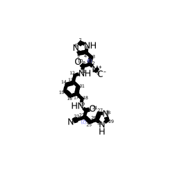 [C-]#[N+]/C(=C/c1cnc[nH]1)C(=O)NCc1cccc(CNC(=O)/C(C#N)=C\c2cnc[nH]2)c1